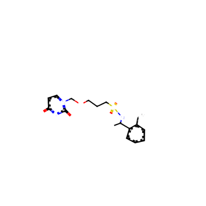 COc1ccccc1C(C)NS(=O)(=O)CCCOCn1ccc(=O)[nH]c1=O